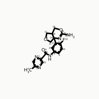 Cc1cnc(C(=O)Nc2ccc(F)c(C34COCC3COC(N)=N4)c2)cn1